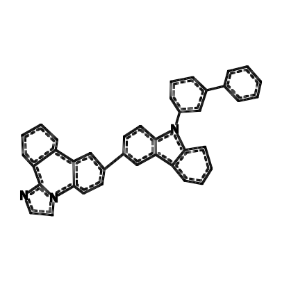 c1ccc(-c2cccc(-n3c4ccccc4c4cc(-c5ccc6c(c5)c5ccccc5c5nccn65)ccc43)c2)cc1